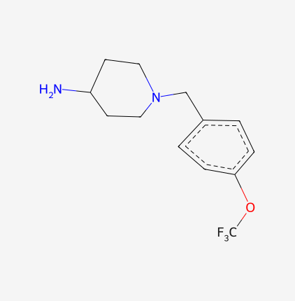 NC1CCN(Cc2ccc(OC(F)(F)F)cc2)CC1